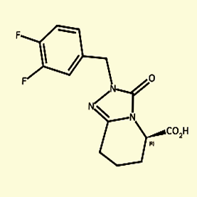 O=C(O)[C@H]1CCCc2nn(Cc3ccc(F)c(F)c3)c(=O)n21